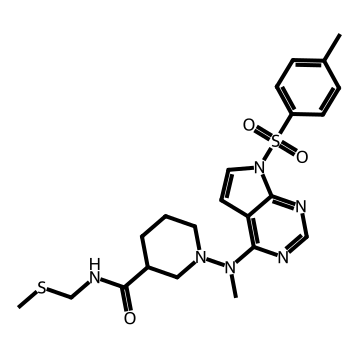 CSCNC(=O)C1CCCN(N(C)c2ncnc3c2ccn3S(=O)(=O)c2ccc(C)cc2)C1